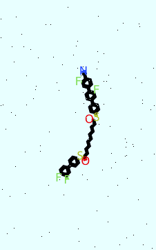 N#Cc1ccc(-c2ccc(-c3ccc(SC(=O)CCCCCCCCCC(=O)Sc4ccc(-c5ccc(F)c(F)c5)cc4)cc3)cc2F)cc1F